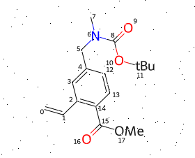 C=Cc1cc(CN(C)C(=O)OC(C)(C)C)ccc1C(=O)OC